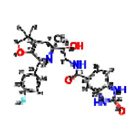 CC1(C)COc2c1cc([C@@](O)(CNC(=O)c1ccc3[nH]c(=O)[nH]c3c1)C(F)(F)F)nc2-c1ccc(F)cc1